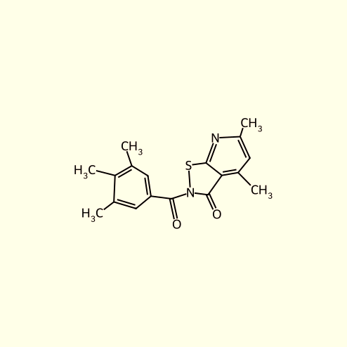 Cc1cc(C)c2c(=O)n(C(=O)c3cc(C)c(C)c(C)c3)sc2n1